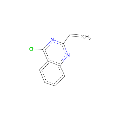 C=Cc1nc(Cl)c2ccccc2n1